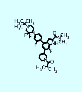 CC(C)C(=O)N1CCC=C(c2cc(-c3ccc([C@@H]4CCN(C(C)(C)C)CC4(F)F)cc3F)c3cc(C(=O)N(C)C)[nH]c3c2F)C1